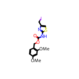 COc1ccc(COC(=O)Nc2nc(CI)cs2)c(OC)c1